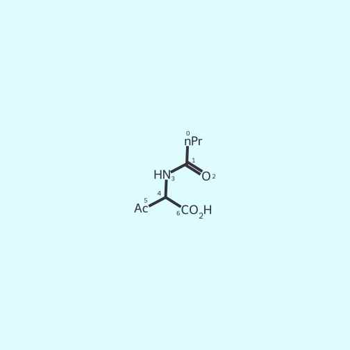 CCCC(=O)NC(C(C)=O)C(=O)O